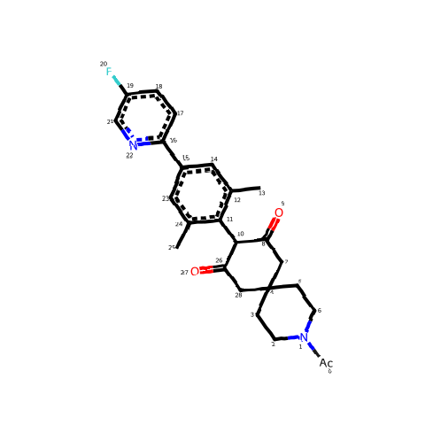 CC(=O)N1CCC2(CC1)CC(=O)C(c1c(C)cc(-c3ccc(F)cn3)cc1C)C(=O)C2